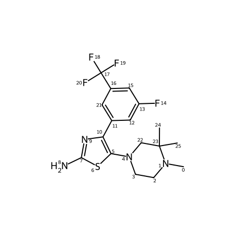 CN1CCN(c2sc(N)nc2-c2cc(F)cc(C(F)(F)F)c2)CC1(C)C